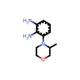 CC1COCCN1c1cccc(N)c1N